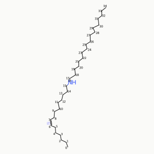 CCCCCC/C=C\CCCCCCCCNCCCCCCCCCCCCCCCCCC